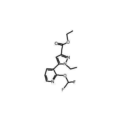 CCOC(=O)c1cc(-c2cccnc2OC(F)F)n(CC)n1